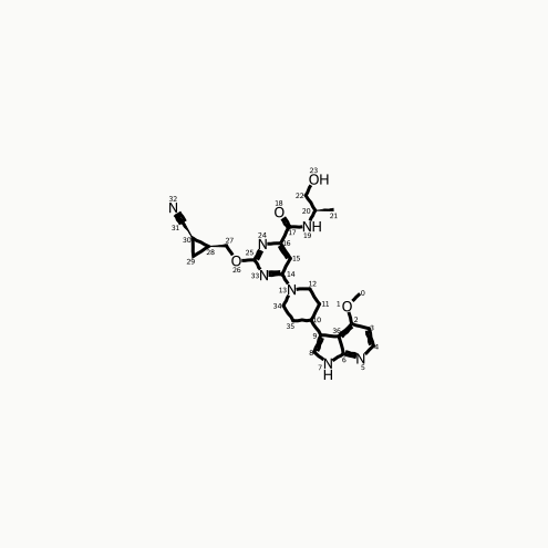 COc1ccnc2[nH]cc(C3CCN(c4cc(C(=O)N[C@H](C)CO)nc(OC[C@H]5C[C@H]5C#N)n4)CC3)c12